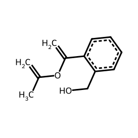 C=C(C)OC(=C)c1ccccc1CO